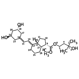 CC(C)(O)CCOC(=O)[C@H]1CC[C@H]2/C(=C/C=C3C[C@@H](O)C[C@H](O)C3)CCC[C@]12C